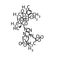 C#C[C@](CO)(OC)[C@H](Cn1cnc2/c(=N/Cc3oc(=O)oc3C)n(Cc3oc(=O)oc3C)c(F)nc21)OC(=O)CC(C)(C)c1c(C)cc(C)cc1OC(C)=O